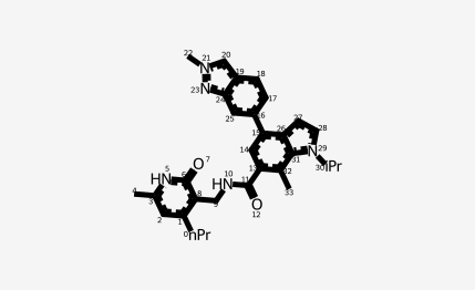 CCCc1cc(C)[nH]c(=O)c1CNC(=O)c1cc(-c2ccc3cn(C)nc3c2)c2ccn(C(C)C)c2c1C